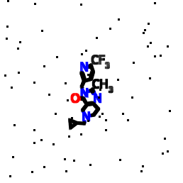 Cc1nc2c(c(=O)n1Cc1ccc(C(F)(F)F)nc1)CN(CC1CC1)CC2